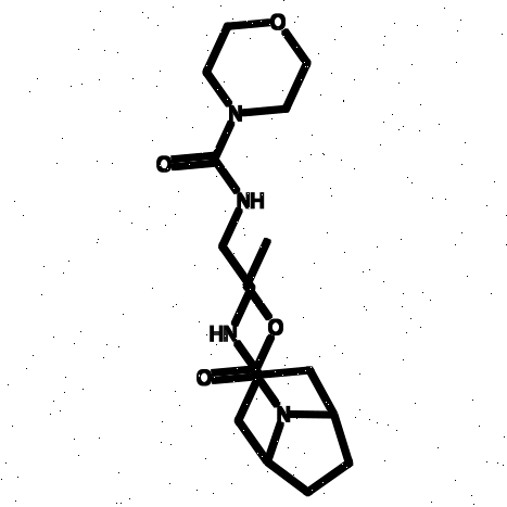 CCOC(=O)N1C2CCC1CC(NCCNC(=O)N1CCOCC1)C2